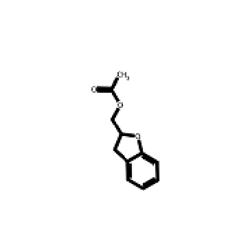 CC(=O)OCC1Cc2ccccc2O1